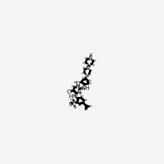 COc1cc(N2CCN(N3CCN(C)CC3)CC2)ccc1Nc1ncc(Cl)c(Nc2ccc(C3CC3)cc2P(C)(C)=O)n1